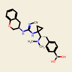 CN(C)[C@@H](Cc1ccc(B(O)O)cc1)C1(NC(=NC#N)N[C@H]2COc3ccccc3C2)CC1